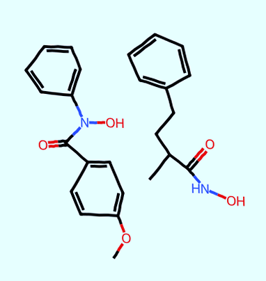 CC(CCc1ccccc1)C(=O)NO.COc1ccc(C(=O)N(O)c2ccccc2)cc1